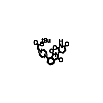 CC(C)(C)OC(=O)CN1CCN(c2cccc3c2C(=O)N(C2CCC(=O)NC2=O)C3=O)CC1